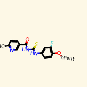 CCCCCOc1ccc(NC(=S)NC(=O)c2ccc(C#N)nc2)cc1F